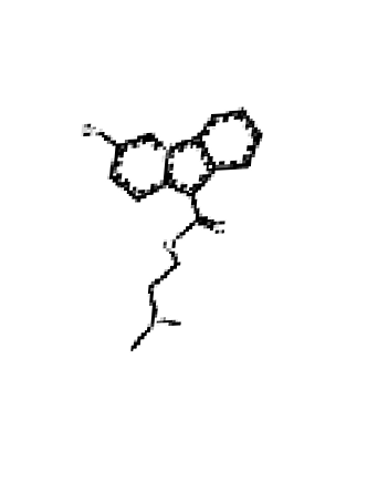 CN(C)CCOC(=O)c1c2ccccc2n2cc(Br)ccc12